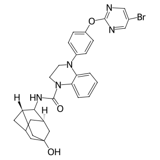 O=C(NC1[C@@H]2CC3C[C@H]1CC(O)(C3)C2)N1CCN(c2ccc(Oc3ncc(Br)cn3)cc2)c2ccccc21